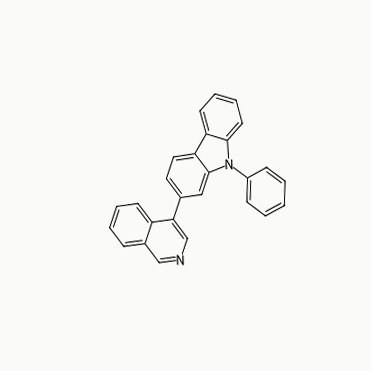 c1ccc(-n2c3ccccc3c3ccc(-c4cncc5ccccc45)cc32)cc1